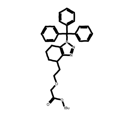 CC(C)(C)OC(=O)COCCC1CCCc2c1nnn2C(c1ccccc1)(c1ccccc1)c1ccccc1